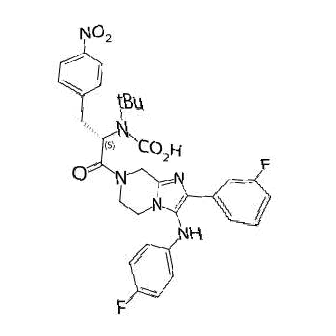 CC(C)(C)N(C(=O)O)[C@@H](Cc1ccc([N+](=O)[O-])cc1)C(=O)N1CCn2c(nc(-c3cccc(F)c3)c2Nc2ccc(F)cc2)C1